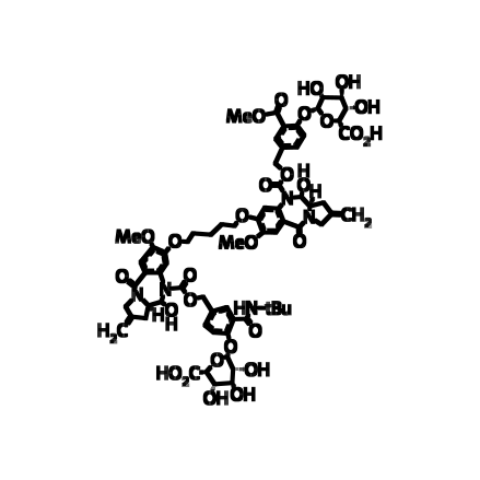 C=C1C[C@H]2C(O)N(C(=O)OCc3ccc(O[C@@H]4O[C@H](C(=O)O)[C@@H](O)[C@H](O)[C@H]4O)c(C(=O)NC(C)(C)C)c3)c3cc(OCCCCCOc4cc5c(cc4OC)C(=O)N4CC(=C)C[C@H]4C(O)N5C(=O)OCc4ccc(O[C@@H]5O[C@H](C(=O)O)[C@@H](O)[C@H](O)[C@H]5O)c(C(=O)OC)c4)c(OC)cc3C(=O)N2C1